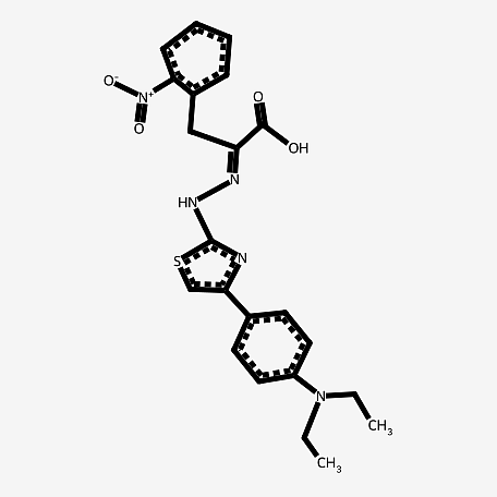 CCN(CC)c1ccc(-c2csc(N/N=C(\Cc3ccccc3[N+](=O)[O-])C(=O)O)n2)cc1